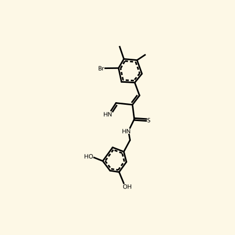 Cc1cc(/C=C(\C=N)C(=S)NCc2cc(O)cc(O)c2)cc(Br)c1C